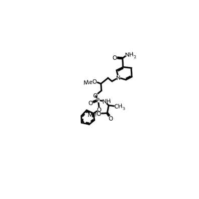 COC(=O)C(C)NP(=O)(OCC(CCN1C=CCC(C(N)=O)=C1)OC)Oc1ccccc1